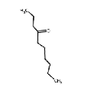 CCCCC[CH]C(=O)CCC